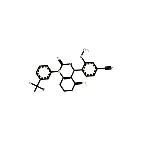 C=C1CCCC2=C1C(c1ccc(C#N)cc1SC)NC(=O)N2c1cccc(C(F)(F)F)c1